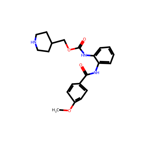 COc1ccc(C(=O)Nc2ccccc2NC(=O)OCC2CCNCC2)cc1